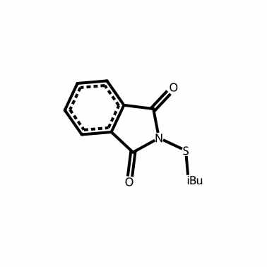 CCC(C)SN1C(=O)c2ccccc2C1=O